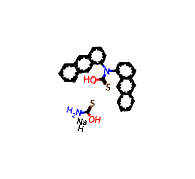 NC(O)=S.OC(=S)N(c1cccc2cc3ccccc3cc12)c1cccc2cc3ccccc3cc12.[NaH]